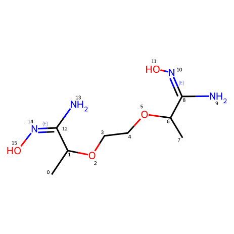 CC(OCCOC(C)/C(N)=N\O)/C(N)=N\O